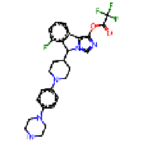 O=C(Oc1ncn2c1-c1cccc(F)c1C2C1CCN(c2ccc(N3CCNCC3)cc2)CC1)C(F)(F)F